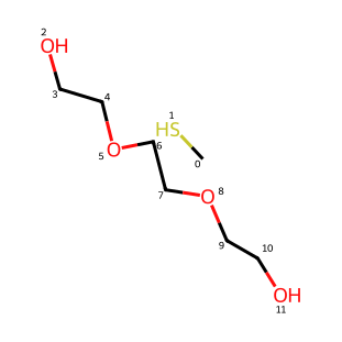 CS.OCCOCCOCCO